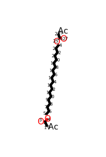 CC(=O)CC(=O)OCCCCCCCCCCCCCCCCCCCCOC(=O)CC(C)=O